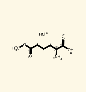 COC(=O)CCC[C@H](N)C(=O)O.Cl